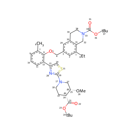 CCc1cc(COc2c(C)cccc2-c2csc(N3CC[C@@H](C(=O)OC(C)(C)C)[C@@H](OC)C3)n2)cc2c1CN(C(=O)OC(C)(C)C)CC2